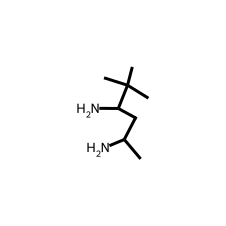 CC(N)CC(N)C(C)(C)C